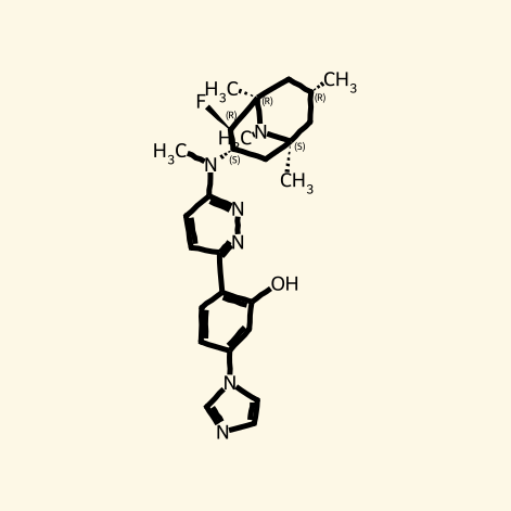 C[C@@H]1C[C@@]2(C)C[C@H](N(C)c3ccc(-c4ccc(-n5ccnc5)cc4O)nn3)[C@@H](F)[C@@](C)(C1)N2C